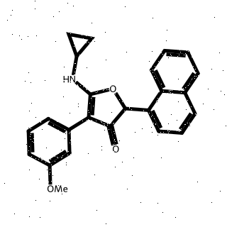 COc1cccc(C2=C(NC3CC3)OC(c3cccc4ccccc34)C2=O)c1